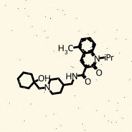 Cc1cccc2c1cc(C(=O)NCC1CCN(CC3(O)CCCCC3)CC1)c(=O)n2C(C)C